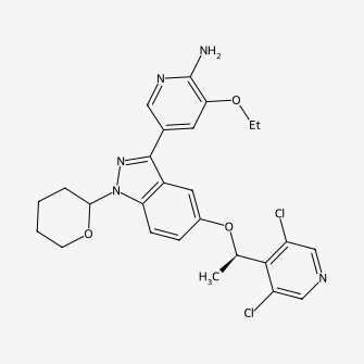 CCOc1cc(-c2nn(C3CCCCO3)c3ccc(O[C@H](C)c4c(Cl)cncc4Cl)cc23)cnc1N